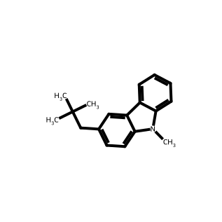 Cn1c2ccccc2c2cc(CC(C)(C)C)ccc21